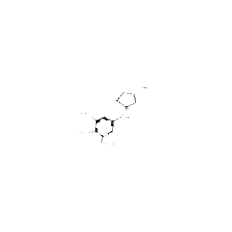 COc1cc(N(C=O)[C@@H]2CC[C@H](CN)C2)cc(OC)c1OC